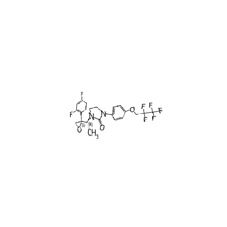 C[C@@H](N1CCN(c2ccc(OCC(F)(F)C(F)(F)F)cc2)C1=O)[C@@]1(c2ccc(F)cc2F)CO1